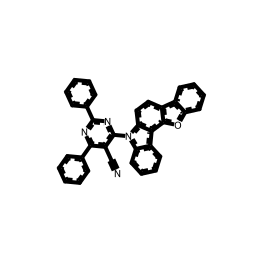 N#Cc1c(-c2ccccc2)nc(-c2ccccc2)nc1-n1c2ccccc2c2c3oc4ccccc4c3ccc21